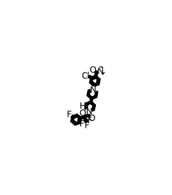 CN(C)C(=O)c1ccc(N2CCC(C3CCN(C(=O)C(O)(c4cccc(F)c4)C(F)(F)F)CC3)CC2)cc1Cl